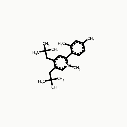 Cc1ccc(-c2cc(CC(C)(C)C)c(CC(C)(C)C)c[n+]2C)c(C)c1